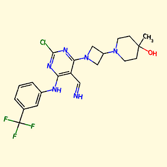 CC1(O)CCN(C2CN(c3nc(Cl)nc(Nc4cccc(C(F)(F)F)c4)c3C=N)C2)CC1